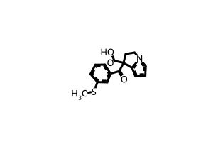 CSc1cccc(C(=O)C2(C(=O)O)CCn3cccc32)c1